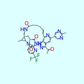 CC(=O)c1nn2c3c(nc(-c4cnc(C)nc4)cc13)/C=C/CCCC(=O)NC[C@@]13C[C@@H](C(=O)Nc4nc(C(F)(F)F)ccc4C)N(C(=O)C2)C1C3C